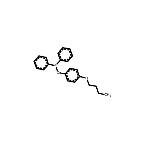 CCCCOc1ccc(OP(c2ccccc2)c2ccccc2)cc1